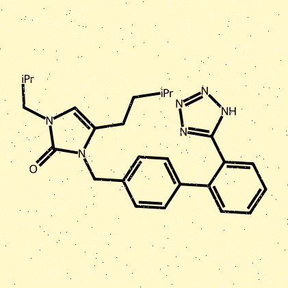 CC(C)CCc1cn(CC(C)C)c(=O)n1Cc1ccc(-c2ccccc2-c2nnn[nH]2)cc1